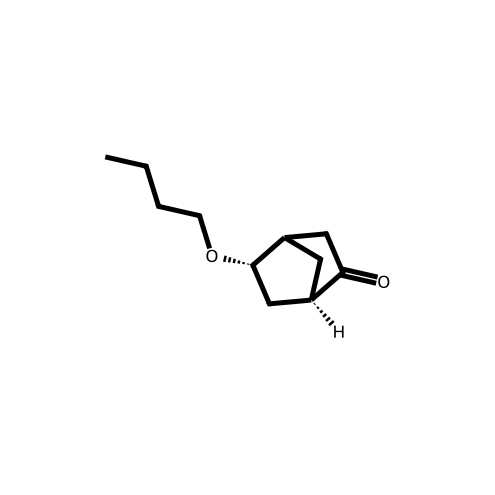 CCCCO[C@H]1C[C@H]2CC1CC2=O